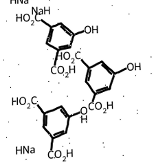 O=C(O)c1cc(O)cc(C(=O)O)c1.O=C(O)c1cc(O)cc(C(=O)O)c1.O=C(O)c1cc(O)cc(C(=O)O)c1.[NaH].[NaH].[NaH]